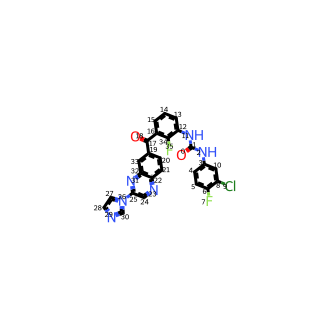 O=C(Nc1ccc(F)c(Cl)c1)Nc1cccc(C(=O)c2ccc3ncc(-n4ccnc4)nc3c2)c1F